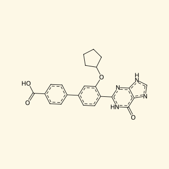 O=C(O)c1ccc(-c2ccc(-c3nc4[nH]cnc4c(=O)[nH]3)c(OC3CCCC3)c2)cc1